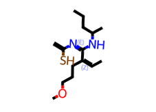 C=C(S)/N=C(NC(C)CCC)\C(=C/C)CCCOC